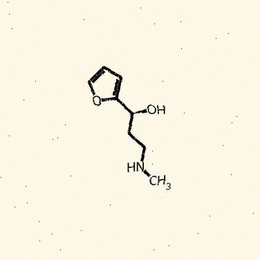 CNCC[C@H](O)c1ccco1